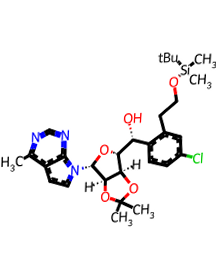 Cc1ncnc2c1ccn2[C@@H]1O[C@H]([C@H](O)c2ccc(Cl)cc2CCO[Si](C)(C)C(C)(C)C)[C@H]2OC(C)(C)O[C@H]21